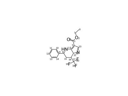 CCOC(=O)C1=C2NC(c3ccccc3)CC(C(F)(F)F)C2N=C1